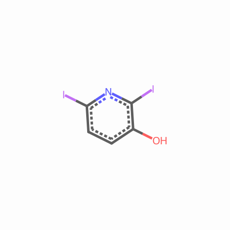 Oc1ccc(I)nc1I